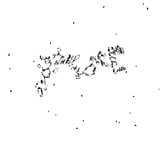 COC(=O)[C@H](CNC(=O)CNC(=O)c1cccc(N/C(=N/C(=O)OC(C)(C)C)NC(=O)OC(C)(C)C)c1)NC(=O)c1c(Cl)cc(N2CCOCC2)cc1Cl